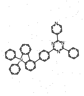 c1ccc(-c2nc(-c3ccncc3)nc(-c3ccc(-c4cccc5c4-c4ccccc4[Si]5(c4ccccc4)c4ccccc4)cc3)n2)cc1